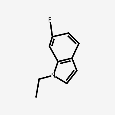 CCn1ccc2ccc(F)cc21